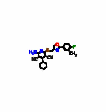 Cc1cc(-c2nc(CSc3nc(N)c(C#N)c(C4CCCCC4)c3C#N)co2)ccc1F